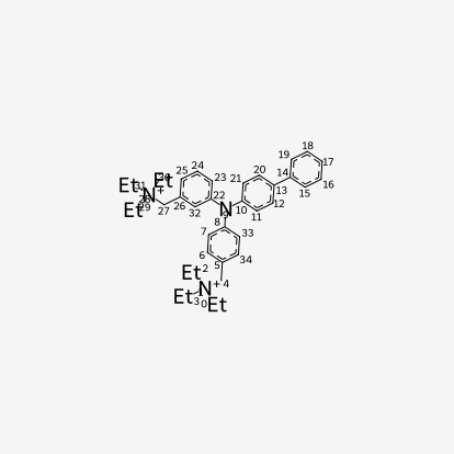 CC[N+](CC)(CC)Cc1ccc(N(c2ccc(-c3ccccc3)cc2)c2cccc(C[N+](CC)(CC)CC)c2)cc1